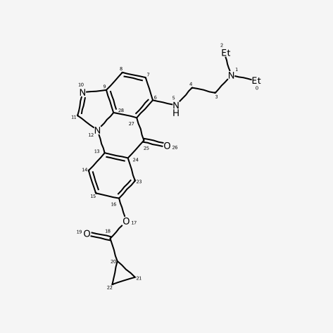 CCN(CC)CCNc1ccc2ncn3c4ccc(OC(=O)C5CC5)cc4c(=O)c1c23